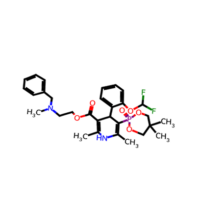 CC1=C(C(=O)OCCN(C)Cc2ccccc2)C(c2ccccc2OC(F)F)C(P2(=O)OCC(C)(C)CO2)=C(C)N1